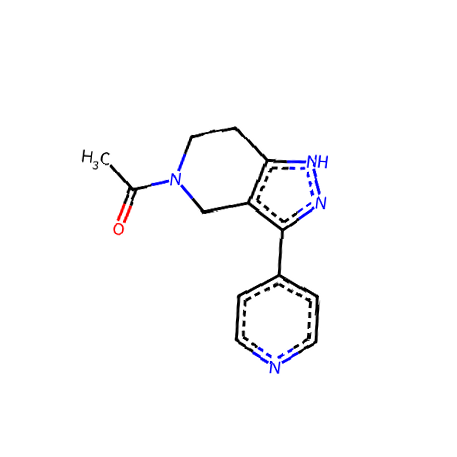 CC(=O)N1CCc2[nH]nc(-c3ccncc3)c2C1